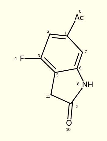 CC(=O)c1cc(F)c2c(c1)NC(=O)C2